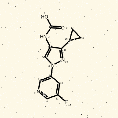 O=C(O)Nc1cn(-c2cncc(F)c2)nc1C1CC1